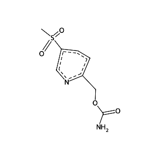 CS(=O)(=O)c1ccc(COC(N)=O)nc1